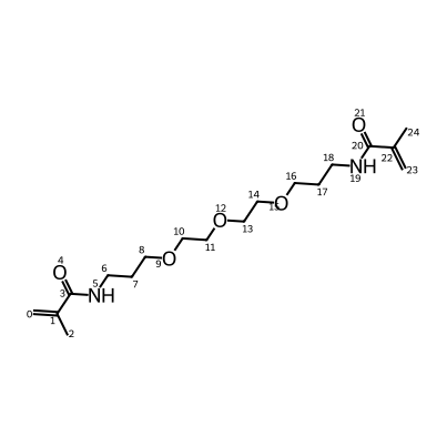 C=C(C)C(=O)NCCCOCCOCCOCCCNC(=O)C(=C)C